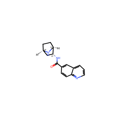 O=C(N[C@@H]1C[C@H]2CC[C@@H]1N2)c1ccc2ncccc2c1